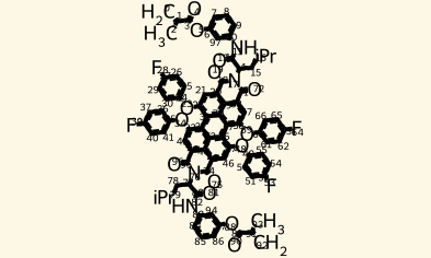 C=C(C)C(=O)Oc1cccc(NC(=O)C(CC(C)C)N2C(=O)c3cc(Oc4ccc(F)cc4)c4c5c(Oc6ccc(F)cc6)cc6c7c(cc(Oc8ccc(F)cc8)c(c8c(Oc9ccc(F)cc9)cc(c3c48)C2=O)c75)C(=O)N(C(CC(C)C)C(=O)Nc2cccc(OC(=O)C(=C)C)c2)C6=O)c1